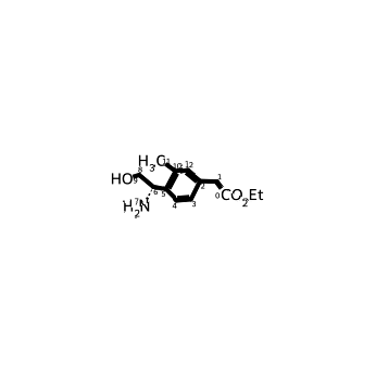 CCOC(=O)Cc1ccc([C@H](N)CO)c(C)c1